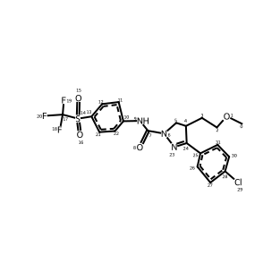 COCCC1CN(C(=O)Nc2ccc(S(=O)(=O)C(F)(F)F)cc2)N=C1c1ccc(Cl)cc1